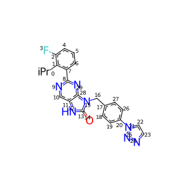 CC(C)c1c(F)cccc1-c1ncc2[nH]c(=O)n(Cc3ccc(-n4ccnn4)cc3)c2n1